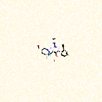 C#Cc1cc(F)ccc1C1N=C(c2nccs2)NC(CN2[C@H]3C[C@@H](CC(=O)O)C[C@@H]2C(F)(F)C3)=C1C(=O)OCC